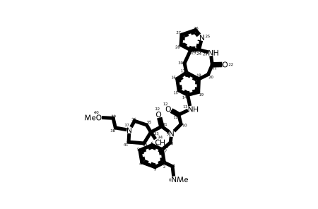 CNCc1ccccc1CN(CC(=O)Nc1ccc2c(c1)CC(=O)Nc1ncccc1C2)C(=O)C1(C)CCN(CCOC)CC1